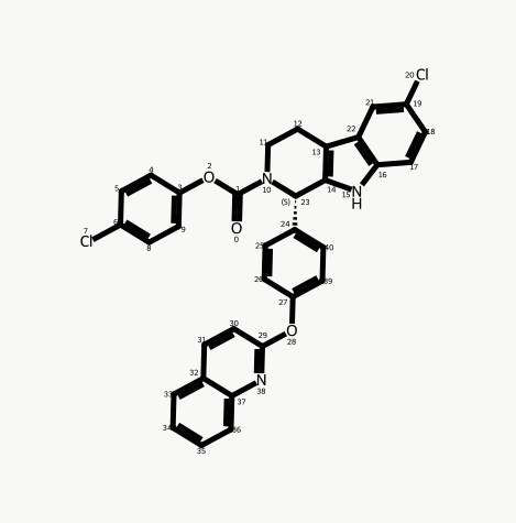 O=C(Oc1ccc(Cl)cc1)N1CCc2c([nH]c3ccc(Cl)cc23)[C@@H]1c1ccc(Oc2ccc3ccccc3n2)cc1